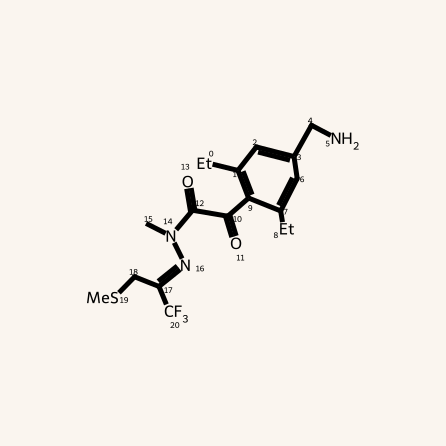 CCc1cc(CN)cc(CC)c1C(=O)C(=O)N(C)N=C(CSC)C(F)(F)F